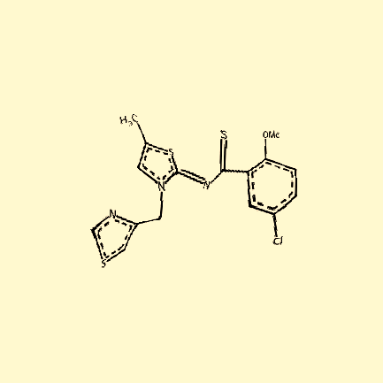 COc1ccc(Cl)cc1C(=S)/N=c1\sc(C)cn1Cc1cscn1